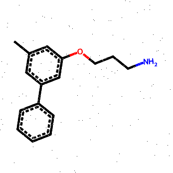 Cc1cc(OCCCN)cc(-c2ccccc2)c1